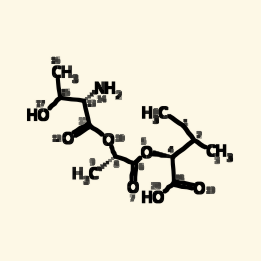 CCC(C)[C@H](OC(=O)[C@H](C)OC(=O)[C@@H](N)C(C)O)C(=O)O